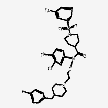 O=C(C1CCN(S(=O)(=O)c2cccc(C(F)(F)F)c2)CC1)N(CCCN1CCC(Cc2ccc(F)cc2)CC1)c1ccc(Cl)c(Cl)c1